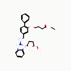 CCOC(=O)CCCOc1cc(CNc2nc3ccccc3n2[C@H]2CC[C@@H](CO)O2)ccc1-c1ccccc1